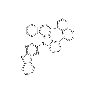 c1ccc(-c2nc3sc4ccccc4c3nc2-n2c3cccc4c3c3c(cccc32)-c2cccc3cccc-4c23)cc1